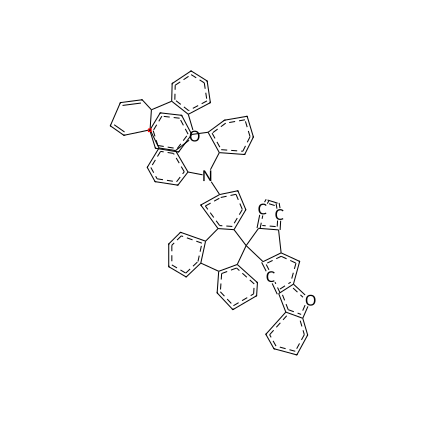 C1=CC2c3ccccc3Oc3c(cccc3N(c3ccc4c(c3)-c3ccccc3-c3ccccc3C43c4ccccc4-c4cc5oc6ccccc6c5cc43)c3ccccc3-c3ccccc3)C2C=C1